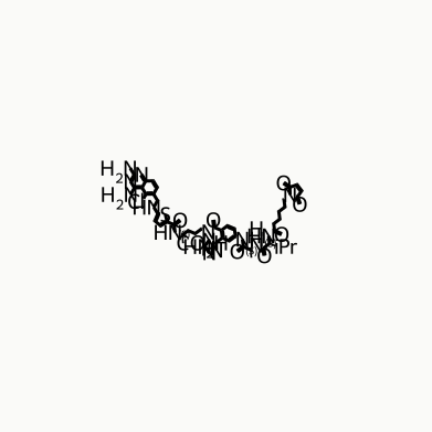 CC(C)[C@H](NC(=O)CCCCCN1C(=O)C=CC1=O)C(=O)N[C@@H](C)C(=O)Nc1ccc(C(=O)NCCC[C@H](NC(=O)c2ccc(NCc3ccc4nc(N)nc(N)c4c3Cl)s2)C(=O)O)c(-c2nn[nH]n2)c1